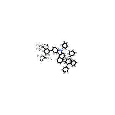 CC(C)(C)c1cc(-c2ccc3c(c2)c2c4cccc5c4c(cc2n3-c2ccccc2)-c2c-5c(-c3ccccc3)c3ccccc3c2-c2ccccc2)cc(C(C)(C)C)c1